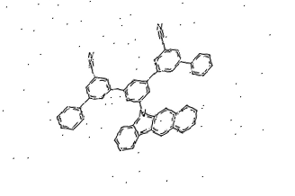 N#Cc1cc(-c2ccccc2)cc(-c2cc(-c3cc(C#N)cc(-c4ccccc4)c3)cc(-n3c4ccccc4c4cc5ccccc5cc43)c2)c1